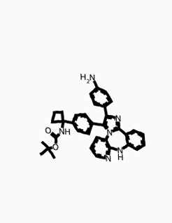 CC(C)(C)OC(=O)NC1(c2ccc(-c3c(-c4ccc(N)cc4)nc4n3-c3cccnc3Nc3ccccc3-4)cc2)CCC1